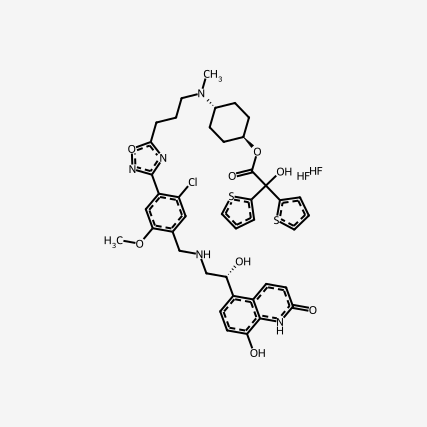 COc1cc(-c2noc(CCCN(C)[C@H]3CC[C@H](OC(=O)C(O)(c4cccs4)c4cccs4)CC3)n2)c(Cl)cc1CNC[C@H](O)c1ccc(O)c2[nH]c(=O)ccc12.F.F